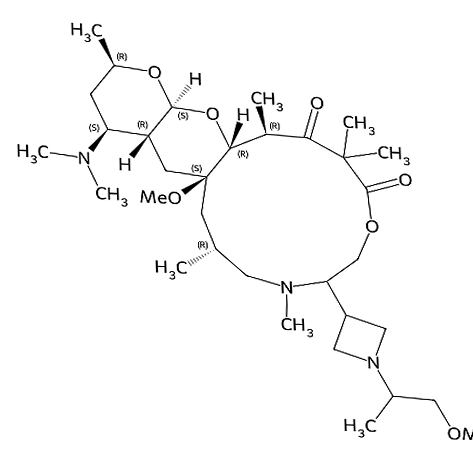 COCC(C)N1CC(C2COC(=O)C(C)(C)C(=O)[C@H](C)[C@H]3O[C@@H]4O[C@H](C)C[C@H](N(C)C)[C@H]4C[C@@]3(OC)C[C@@H](C)CN2C)C1